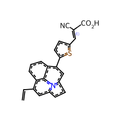 C=Cc1cc2ccc3cc(-c4ccc(/C=C(\C#N)C(=O)O)s4)c4cccc1c4n23